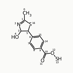 CC1=NC(O)C(c2ccc(C(=O)OS)cc2)S1